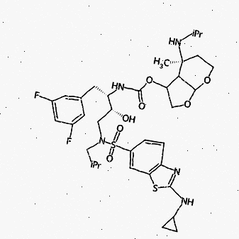 CC(C)CN(C[C@@H](O)[C@H](Cc1cc(F)cc(F)c1)NC(=O)OC1COC2OCC[C@](C)(NC(C)C)C12)S(=O)(=O)c1ccc2nc(NC3CC3)sc2c1